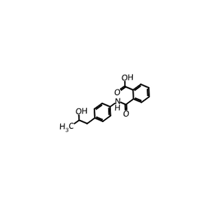 CC(O)Cc1ccc(NC(=O)c2ccccc2C(=O)O)cc1